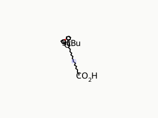 CC(C)(C)[Si](OCCCCCCCC/C=C/CCCCCCCC(=O)O)(c1ccccc1)c1ccccc1